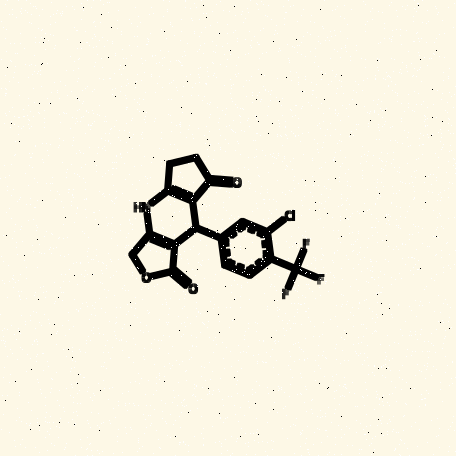 O=C1CCC2=C1C(c1ccc(C(F)(F)F)c(Cl)c1)C1=C(COC1=O)N2